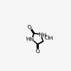 Cl.O=C1CNC(=O)N1